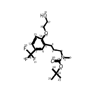 CN(CCCc1cc(C(F)(F)F)ccc1OCCO)C(=O)OC(C)(C)C